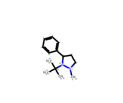 CN1CCC(c2ccccc2)N1C(C)(C)C